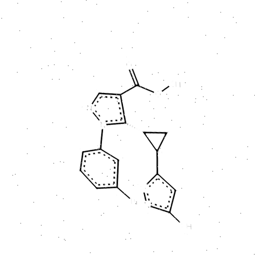 COC(=O)c1cnn(-c2cccc(Br)c2)c1[C@@H]1CC1c1cc(C)no1